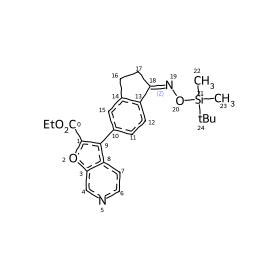 CCOC(=O)c1oc2cnccc2c1-c1ccc2c(c1)CC/C2=N/O[Si](C)(C)C(C)(C)C